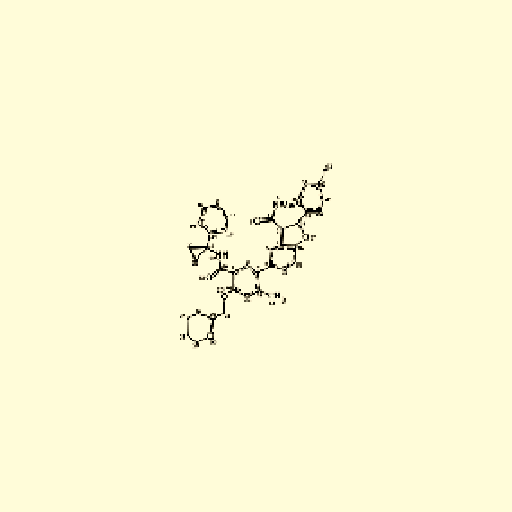 CNC(=O)C1c2cc(-c3cc(C(=O)NC4(c5ccccn5)CC4)c(OCC4CCCCO4)cc3C)ccc2OC1c1ccc(F)cc1